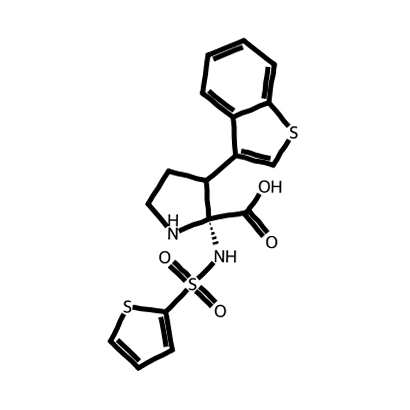 O=C(O)[C@@]1(NS(=O)(=O)c2cccs2)NCCC1c1csc2ccccc12